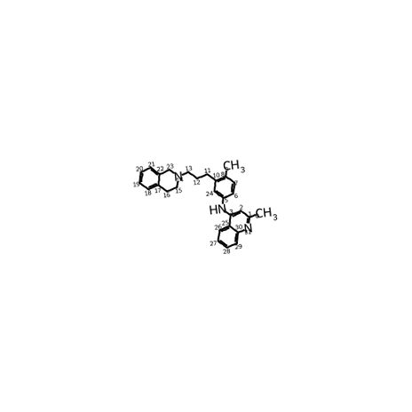 Cc1cc(Nc2ccc(C)c(CCCN3CCc4ccccc4C3)c2)c2ccccc2n1